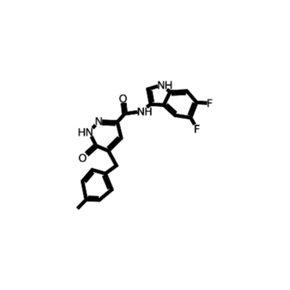 Cc1ccc(Cc2cc(C(=O)Nc3c[nH]c4cc(F)c(F)cc34)n[nH]c2=O)cc1